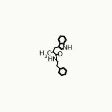 CC(Cc1c[nH]c2ccccc12)C(=O)NCCc1ccccc1